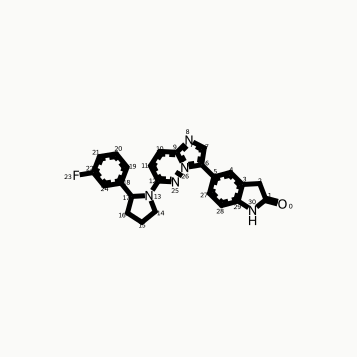 O=C1Cc2cc(-c3cnc4ccc(N5CCCC5c5cccc(F)c5)nn34)ccc2N1